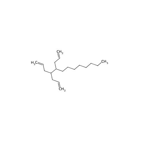 C=CC[C](CC=C)C(CC=C)CCCCCCCC